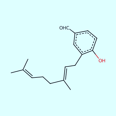 CC(C)=CCC/C(C)=C/Cc1cc(C=O)ccc1O